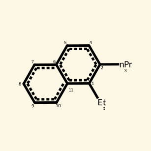 [CH2]Cc1c(CCC)ccc2ccccc12